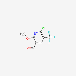 COc1nc(Cl)c(C(F)(F)F)cc1C=O